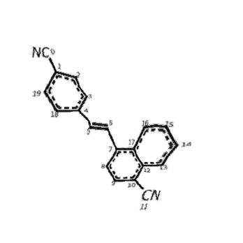 N#Cc1ccc(C=Cc2ccc(C#N)c3ccccc23)cc1